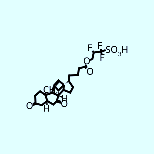 C[C@]12CCC(=O)C[C@H]1CC(=O)[C@H]1C3CCC(CCCC(=O)OCC(F)C(F)(F)S(=O)(=O)O)[C@]34C=C(C4)C12